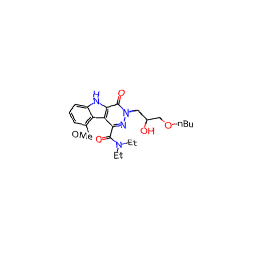 CCCCOCC(O)Cn1nc(C(=O)N(CC)CC)c2c([nH]c3cccc(OC)c32)c1=O